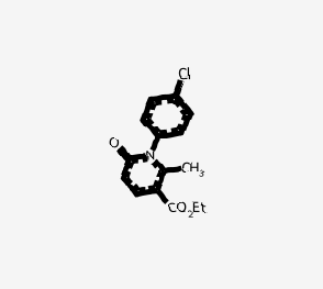 CCOC(=O)c1ccc(=O)n(-c2ccc(Cl)cc2)c1C